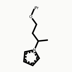 CC(C)OCCC(C)n1cccc1